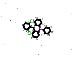 Clc1cccc(Cl)c1Cc1ccccc1P(c1ccccc1)c1ccccc1